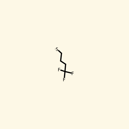 FC(F)(F)CCC[S]